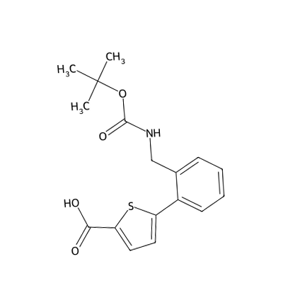 CC(C)(C)OC(=O)NCc1ccccc1-c1ccc(C(=O)O)s1